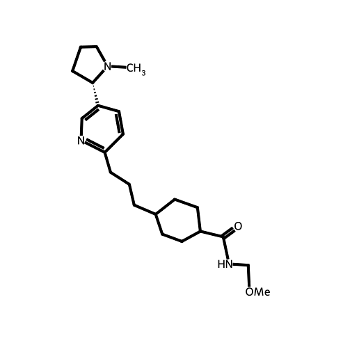 COCNC(=O)C1CCC(CCCc2ccc([C@@H]3CCCN3C)cn2)CC1